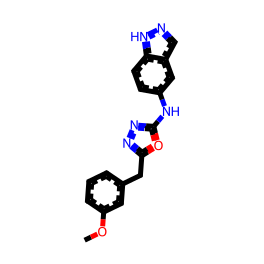 COc1cccc(Cc2nnc(Nc3ccc4[nH]ncc4c3)o2)c1